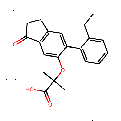 CCc1ccccc1-c1cc2c(cc1OC(C)(C)C(=O)O)C(=O)CC2